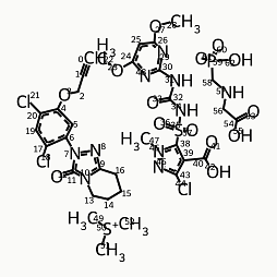 C#CCOc1cc(-n2nc3n(c2=O)CCCC3)c(Cl)cc1Cl.COc1cc(OC)nc(NC(=O)NS(=O)(=O)c2c(C(=O)O)c(Cl)nn2C)n1.C[S+](C)C.O=C(O)CNCP(=O)([O-])O